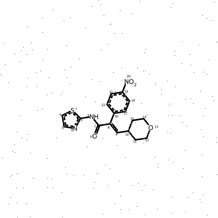 O=C(Nc1nccs1)C(=CC1CCOCC1)c1ccc([N+](=O)[O-])cc1